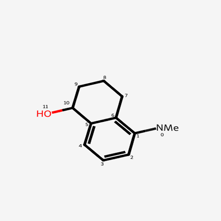 CNc1cccc2c1CCCC2O